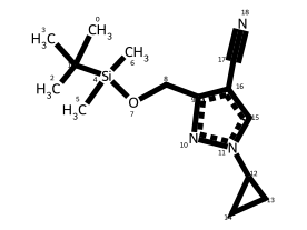 CC(C)(C)[Si](C)(C)OCc1nn(C2CC2)cc1C#N